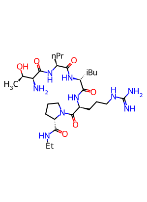 CCC[C@H](NC(=O)[C@@H](N)[C@@H](C)O)C(=O)N[C@H](C(=O)N[C@@H](CCCNC(=N)N)C(=O)N1CCC[C@H]1C(=O)NCC)[C@@H](C)CC